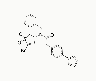 O=C(Cc1ccc(-n2cccc2)cc1)N(Cc1ccccc1)C1C=C(Br)S(=O)(=O)C1